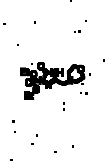 CCOP(=O)(OCC)n1nc(CN2CCOCC2)[nH]c1=O